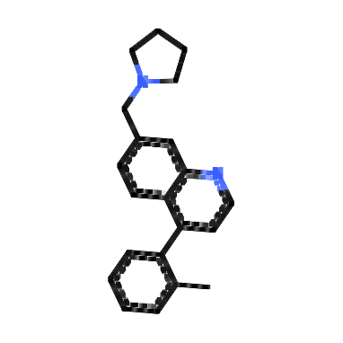 Cc1ccccc1-c1ccnc2cc(CN3CCCC3)ccc12